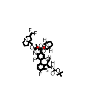 CC(C)(C)OC(=O)Nc1sc2c(F)ccc(-c3c(Cl)cc4c(N5C[C@H]6CC[C@@H](C5)N6C(=O)OC(C)(C)C)nc(OCC56CCCN5CC(=C(F)F)C6)nc4c3F)c2c1C#N